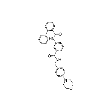 O=C(NCc1ccc(N2CCOCC2)cc1)c1cccc(NC(=O)c2ccccc2-c2ccccc2)c1